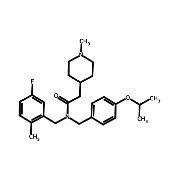 Cc1ccc(F)cc1CN(Cc1ccc(OC(C)C)cc1)C(=O)CC1CCN(C)CC1